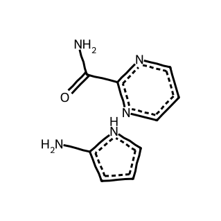 NC(=O)c1ncccn1.Nc1ccc[nH]1